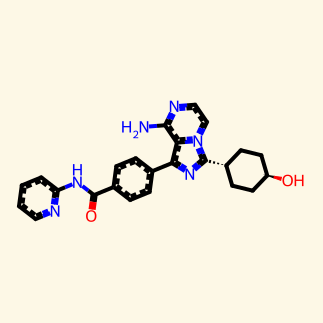 Nc1nccn2c1c(-c1ccc(C(=O)Nc3ccccn3)cc1)nc2[C@H]1CC[C@H](O)CC1